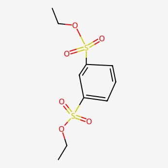 CCOS(=O)(=O)c1cccc(S(=O)(=O)OCC)c1